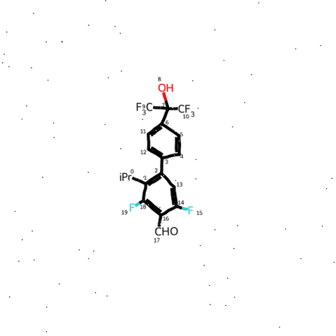 CC(C)c1c(-c2ccc(C(O)(C(F)(F)F)C(F)(F)F)cc2)cc(F)c(C=O)c1F